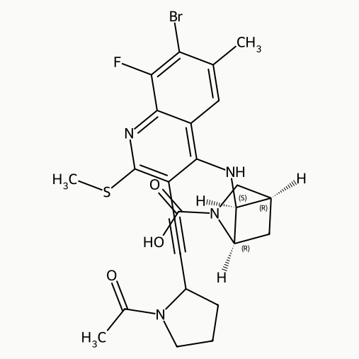 CSc1nc2c(F)c(Br)c(C)cc2c(N[C@H]2[C@@H]3C[C@H]2N(C(=O)O)C3)c1C#CC1CCCN1C(C)=O